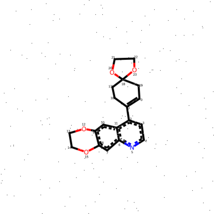 C1=C(c2ccnc3cc4c(cc23)OCCO4)CCC2(C1)OCCO2